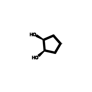 O[C@@H]1C[CH]C[C@@H]1O